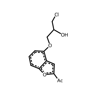 CC(=O)c1cc2c(OCC(O)CCl)cccc2o1